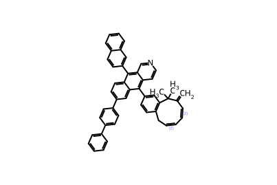 C=C1/C=C\C=C/Cc2ccc(-c3c4ccncc4c(-c4ccc5ccccc5c4)c4ccc(-c5ccc(-c6ccccc6)cc5)cc34)cc2C1(C)C